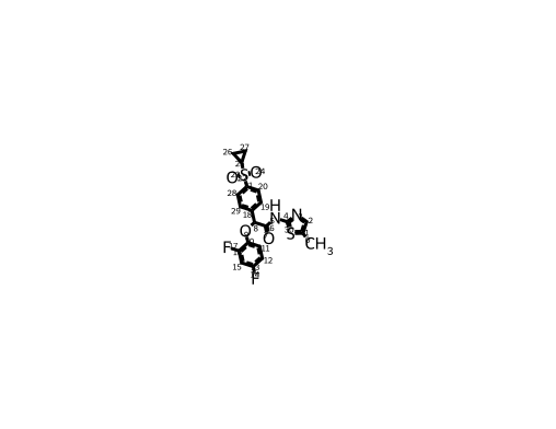 Cc1cnc(NC(=O)C(Oc2ccc(F)cc2F)c2ccc(S(=O)(=O)C3CC3)cc2)s1